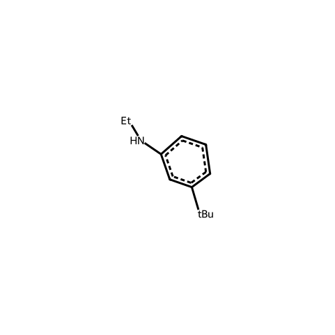 CCNc1cccc(C(C)(C)C)c1